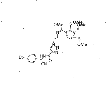 CCc1ccc(C(C#N)NC(=O)c2cn(CCN=C(OC)c3ccc(SOC)c(SOC)c3SOC)nn2)cc1